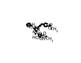 CCNC(=O)[C@H]1O[C@@H](n2cnc3c(NCc4ccccn4)nc(C#CCC4CCN(C(=O)OC)CC4)nc32)C(O)[C@H]1O